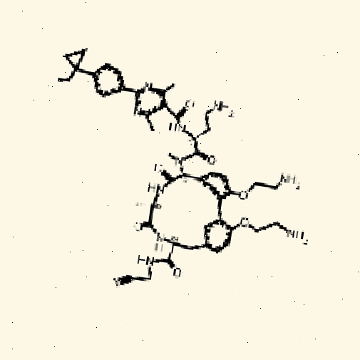 CCC1(c2ccc(-c3nc(C)c(C(=O)N[C@@H](CCN)C(=O)N(C)[C@@H]4C(=O)N[C@@H](C)C(=O)N[C@H](C(=O)NCC#N)Cc5ccc(OCCN)c(c5)-c5cc4ccc5OCCN)c(C)n3)cc2)CC1